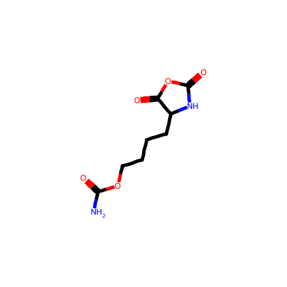 NC(=O)OCCCCC1NC(=O)OC1=O